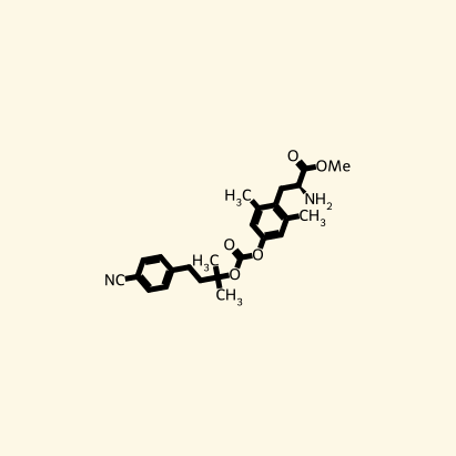 COC(=O)[C@@H](N)Cc1c(C)cc(OC(=O)OC(C)(C)CCc2ccc(C#N)cc2)cc1C